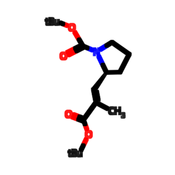 C/C(=C\[C@@H]1CCCN1C(=O)OC(C)(C)C)C(=O)OC(C)(C)C